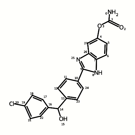 NC(=O)Oc1ccc2[nH]c(-c3ccc(C(O)c4ccc(Cl)cc4)cc3)nc2c1